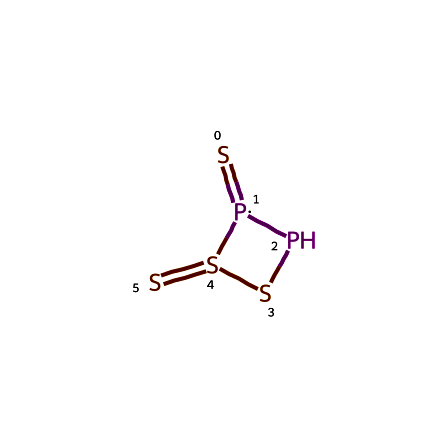 S=[P]1PSS1=S